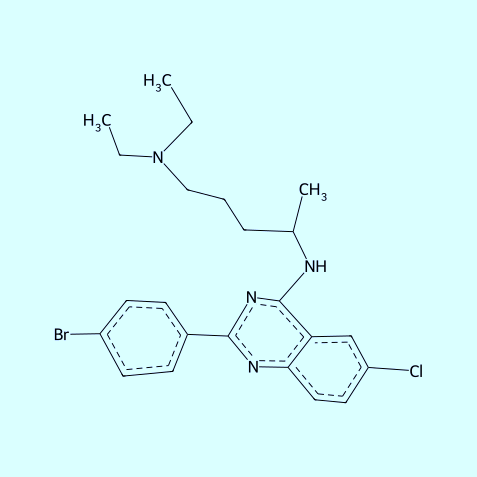 CCN(CC)CCCC(C)Nc1nc(-c2ccc(Br)cc2)nc2ccc(Cl)cc12